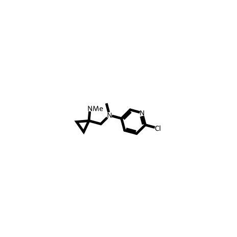 CNC1(CN(C)c2ccc(Cl)nc2)CC1